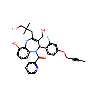 CC#CCOc1ccc(C2C(CO)=C(CC(C)(C)CO)Nc3c(O)cccc3N2C(=O)c2ccccn2)c(F)c1